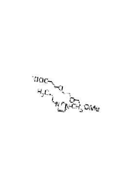 C=CC[n+]1ccn(C)c1.COCCOCCOCCC(=O)[O-]